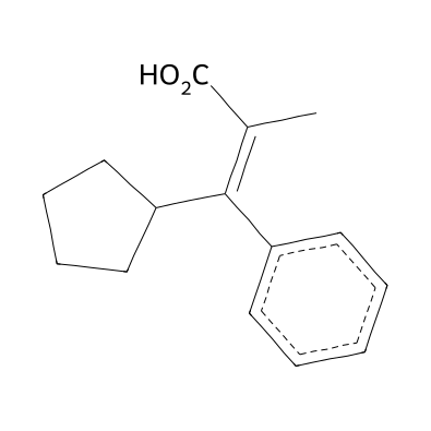 CC(C(=O)O)=C(c1ccccc1)C1CCCC1